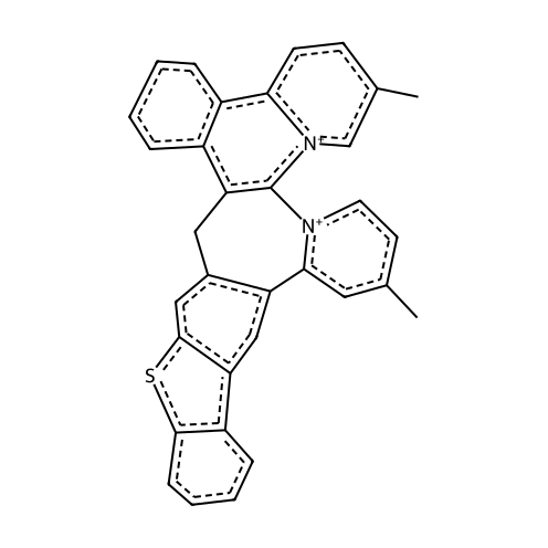 Cc1cc[n+]2c(c1)-c1cc3c(cc1Cc1c-2[n+]2cc(C)ccc2c2ccccc12)sc1ccccc13